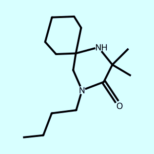 CCCCN1CC2(CCCCC2)NC(C)(C)C1=O